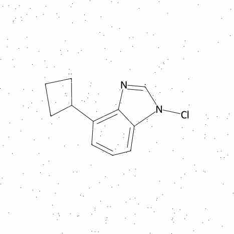 Cln1[c]nc2c(C3CCC3)cccc21